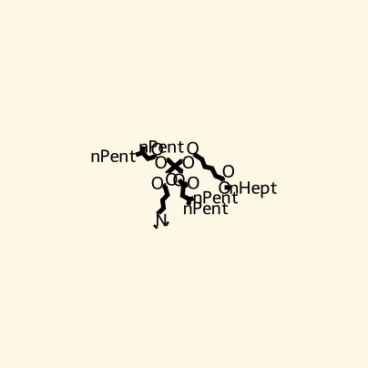 CCCCCCCOC(=O)CCCCC(=O)OCC(COC(=O)CCCCN(C)C)(COC(=O)CC(CCCCC)CCCCC)COC(=O)CC(CCCCC)CCCCC